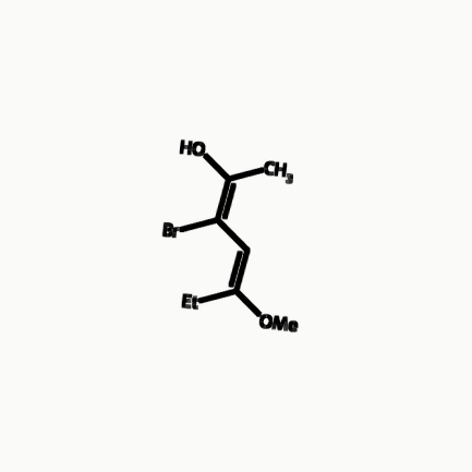 CC/C(=C\C(Br)=C(/C)O)OC